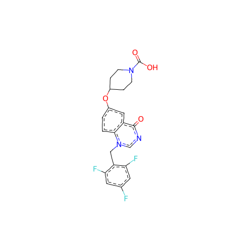 O=C(O)N1CCC(Oc2ccc3c(c2)c(=O)ncn3Cc2c(F)cc(F)cc2F)CC1